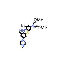 CCc1cc(N(CCOC)CCOC)cc2c1Nc1c(C)cc(N3CCN(C)CC3)cc1S2